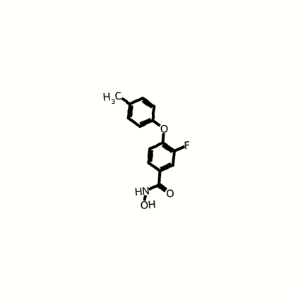 Cc1ccc(Oc2ccc(C(=O)NO)cc2F)cc1